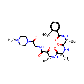 CC(C)[C@H](NC(=O)[C@H](C)NC(=O)[C@@H](NC(=O)c1ccccc1C(=O)O)C(C)(C)C)C(=O)C(=O)NCC(=O)N1CCN(C)CC1